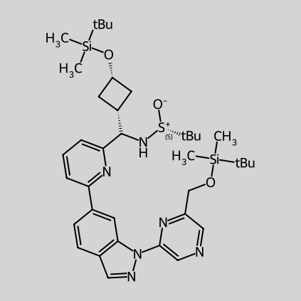 CC(C)(C)[S@@+]([O-])NC(c1cccc(-c2ccc3cnn(-c4cncc(CO[Si](C)(C)C(C)(C)C)n4)c3c2)n1)[C@H]1C[C@@H](O[Si](C)(C)C(C)(C)C)C1